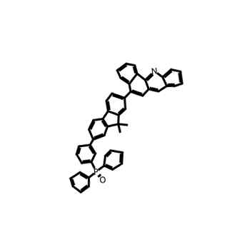 CC1(C)c2cc(-c3cccc(P(=O)(c4ccccc4)c4ccccc4)c3)ccc2-c2ccc(-c3cc4cc5ccccc5nc4c4ccccc34)cc21